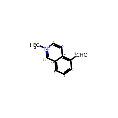 C[n+]1ccc2c(C=O)cccc2c1